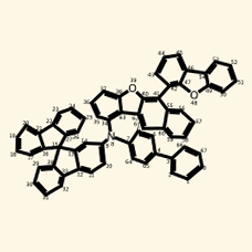 c1ccc(-c2ccc(N(c3ccc4c(c3)C3(c5ccccc5-c5ccccc53)c3ccccc3-4)c3cccc4oc5c(-c6cccc7c6oc6ccccc67)c6ccccc6cc5c34)cc2)cc1